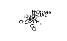 CC[C@H](C)[C@H](NC(=O)c1nccc(OC)c1OC(C)=O)C(=O)NC(C)=C(c1ccc(Cl)cc1)c1ccc(Cl)cc1